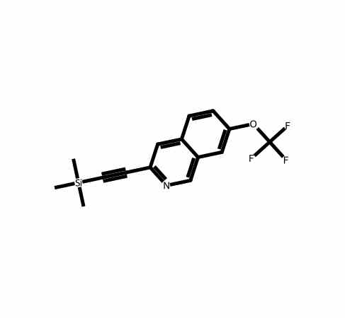 C[Si](C)(C)C#Cc1cc2ccc(OC(F)(F)F)cc2cn1